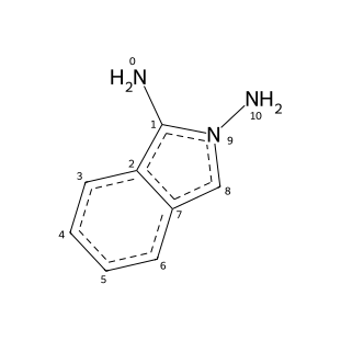 Nc1c2ccccc2cn1N